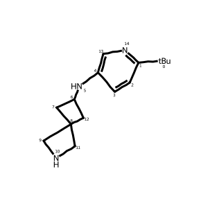 CC(C)(C)c1ccc(NC2CC3(CNC3)C2)cn1